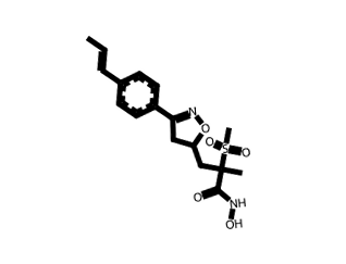 CC=Cc1ccc(C2=NOC(CC(C)(C(=O)NO)S(C)(=O)=O)C2)cc1